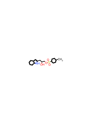 Cc1ccc(S(=O)(=O)OC[C@@H](O)Cc2cc3ccccc3[nH]2)cc1